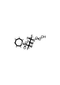 O=S(=O)(N1CCCCCC1)C(F)(F)C(F)(F)C(F)(F)SOOO